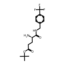 CC(C)(C)OC(=O)CC[C@@H](N)C(=O)NCc1ccc(C(F)(F)F)cc1